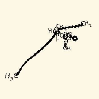 CC#CC#CC#CC#CC#CC#CC#CC#CC#CC#CC#CC#CC(=O)N[C@@H](COC1CC(OSOOO)C2OC(c3ccccc3)OCC2O1)[C@H](C)[C@H](C)CC=CCCCCCCCCCCC